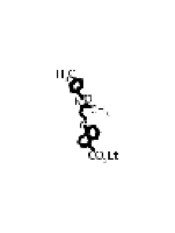 CCOC(=O)CC1=CCCc2c(OCCc3nc(-c4ccc(C)cc4)oc3C)cccc21